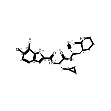 N#C[C@H](C[C@@H]1CCCNC1=O)NC(=O)[C@H](CC1CC1)NC(=O)c1cc2ccc(Cl)c(Cl)c2[nH]1